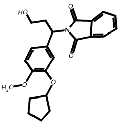 COc1ccc(C(CCO)N2C(=O)c3ccccc3C2=O)cc1OC1CCCC1